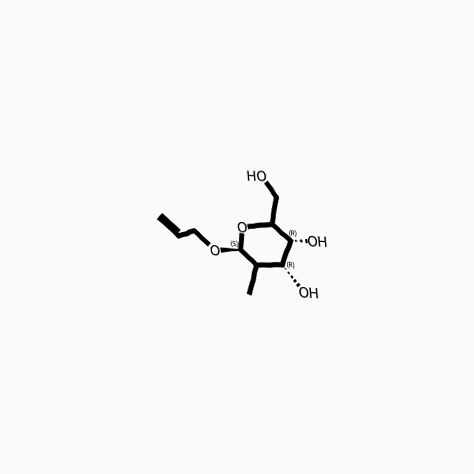 C=CCO[C@H]1OC(CO)[C@H](O)[C@H](O)C1C